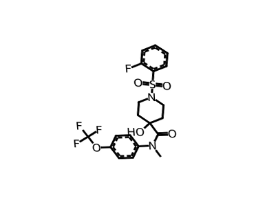 CN(C(=O)C1(O)CCN(S(=O)(=O)c2ccccc2F)CC1)c1ccc(OC(F)(F)F)cc1